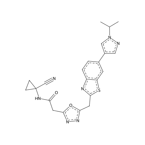 CC(C)n1cc(-c2ccc3nc(Cc4nnc(CC(=O)NC5(C#N)CC5)o4)sc3c2)cn1